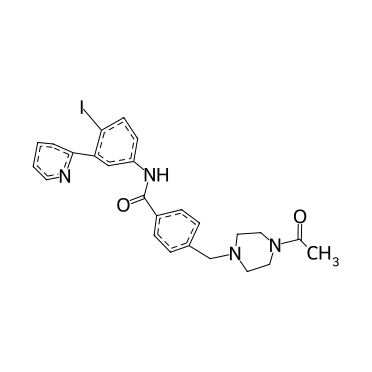 CC(=O)N1CCN(Cc2ccc(C(=O)Nc3ccc(I)c(-c4ccccn4)c3)cc2)CC1